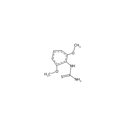 COc1cccc(OC)c1NC(N)=S